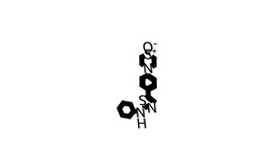 [O-][S+]1CCN(c2ccc(-c3cnc(NC4CCCCC4)s3)cc2)CC1